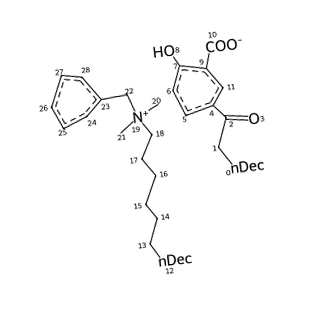 CCCCCCCCCCCC(=O)c1ccc(O)c(C(=O)[O-])c1.CCCCCCCCCCCCCCCC[N+](C)(C)Cc1ccccc1